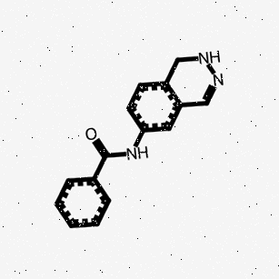 O=C(Nc1ccc2c(c1)C=NNC2)c1ccccc1